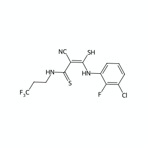 N#CC(C(=S)NCCC(F)(F)F)=C(S)Nc1cccc(Cl)c1F